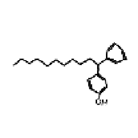 CCCCCCCCCCC(c1ccccc1)c1ccc(O)cc1